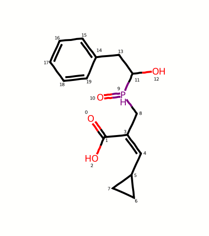 O=C(O)C(=CC1CC1)C[PH](=O)C(O)Cc1ccccc1